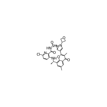 Cc1cc([C@@H](C)Nc2ccc(Cl)nc2C(=O)N[SH]=O)c2oc(-c3cnn(C4COC4)c3)c(C)c(=O)c2c1